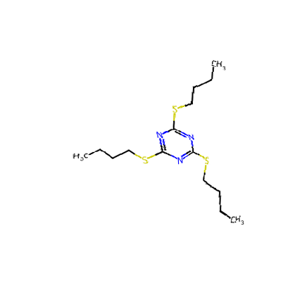 CCCCSc1nc(SCCCC)nc(SCCCC)n1